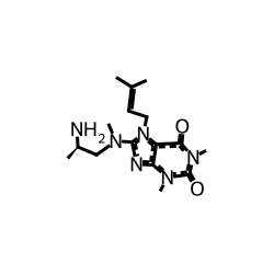 CC(C)=CCn1c(N(C)C[C@@H](C)N)nc2c1c(=O)n(C)c(=O)n2C